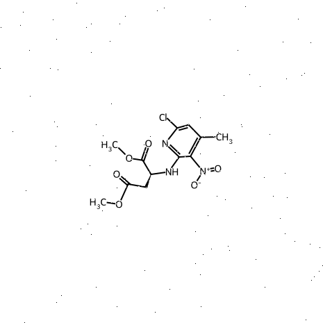 COC(=O)C[C@H](Nc1nc(Cl)cc(C)c1[N+](=O)[O-])C(=O)OC